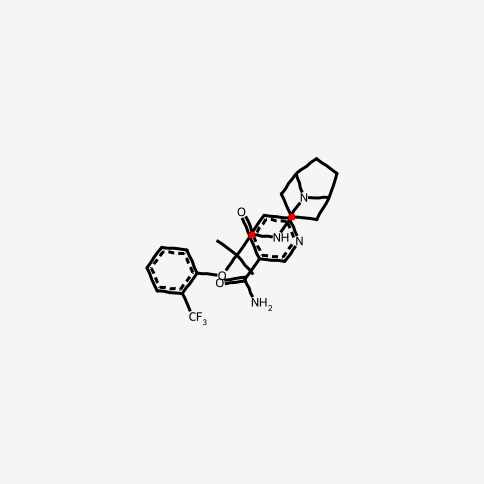 CC(C)(Oc1ccccc1C(F)(F)F)C(=O)NC1CC2CCC(C1)N2c1ccc(C(N)=O)cn1